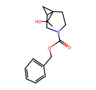 CC(O)C12CCN(C(=O)OCc3ccccc3)CC1C2